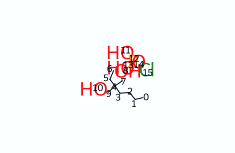 CCCCC(CC)(CO)CO.OP(O)OCl